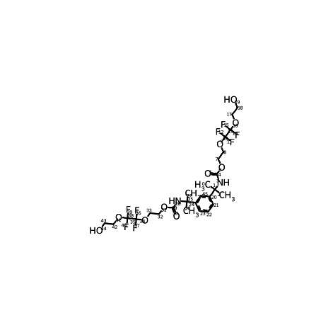 CC(C)(NC(=O)OCCOC(F)(F)C(F)(F)OCCO)c1cccc(C(C)(C)NC(=O)OCCOC(F)(F)C(F)(F)OCCO)c1